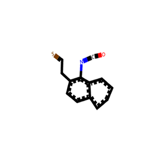 O=C=Nc1c(CC=S)ccc2ccccc12